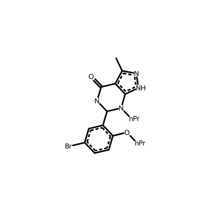 CCCOc1ccc(Br)cc1C1[N]C(=O)c2c(C)n[nH]c2N1CCC